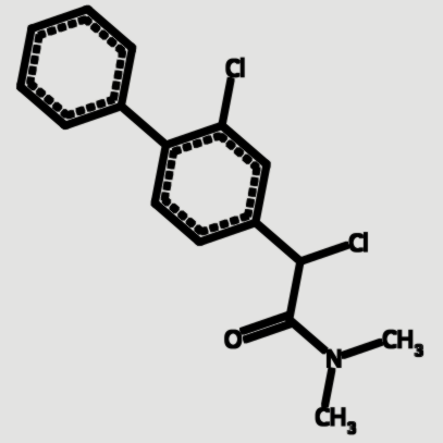 CN(C)C(=O)C(Cl)c1ccc(-c2ccccc2)c(Cl)c1